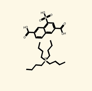 CCCC[PH](CCCC)(CCCC)CCCC.O=C(O)c1cc(S(=O)(=O)O)c2cc(C(=O)O)ccc2c1